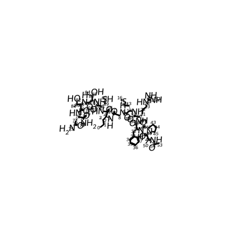 CC[C@H](C)[C@H](NC(=O)CNC(=O)[C@H](CCSC)NC(=O)[C@H](CCCNC(=N)N)NC(=O)[C@H](Cc1ccccc1)NC(=O)[C@@H]1CCCN1C(=O)[C@H](C)NC(C)=O)C(=O)N[C@@H](CS)C(=O)N[C@H](C(=O)N[C@H](C(=O)N[C@@H](CC(N)=O)C(N)=O)[C@@H](C)O)[C@@H](C)O